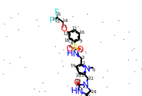 Cn1c(CNS(=O)(=O)c2cccc(OCC(F)F)c2)ccc1CN1CC(=O)NC1=O